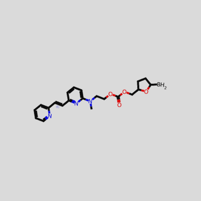 BC1CCC(COC(=O)OCCN(C)c2cccc(/C=C/c3ccccn3)n2)O1